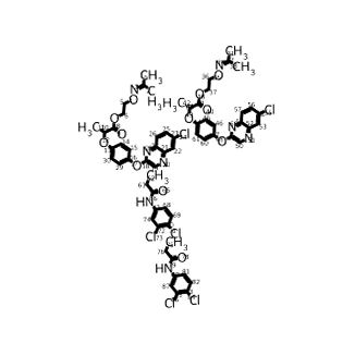 CC(C)=NOCCOC(=O)C(C)Oc1ccc(Oc2cnc3cc(Cl)ccc3n2)cc1.CC(C)=NOCCOC(=O)[C@@H](C)Oc1ccc(Oc2cnc3cc(Cl)ccc3n2)cc1.CCC(=O)Nc1ccc(Cl)c(Cl)c1.CCC(=O)Nc1ccc(Cl)c(Cl)c1